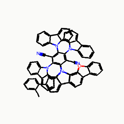 Cc1ccccc1-c1ccc2c3ccc4c5ccccc5oc4c3n(-c3c(C#N)c(-n4c5ccccc5c5ccccc54)c(-n4c5ccccc5c5ccccc54)c(C#N)c3-n3c4ccccc4c4ccccc43)c2c1